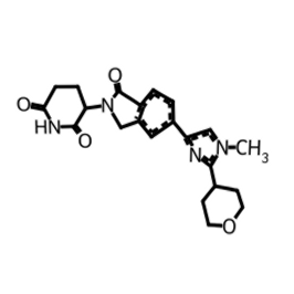 Cn1cc(-c2ccc3c(c2)CN(C2CCC(=O)NC2=O)C3=O)nc1C1CCOCC1